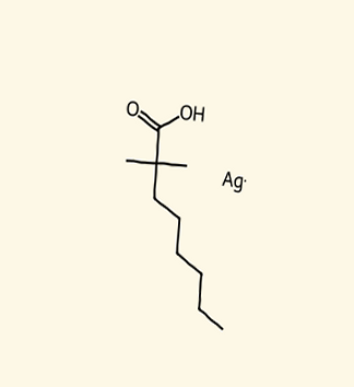 CCCCCCC(C)(C)C(=O)O.[Ag]